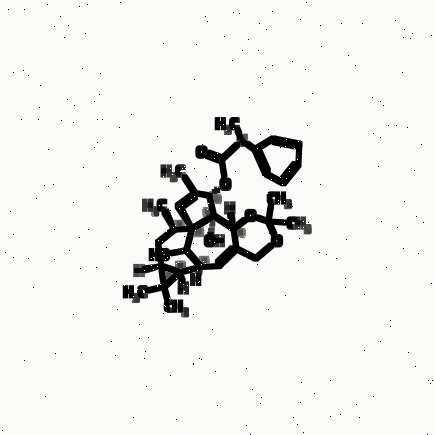 CC1=C[C@]23C(O)[C@@H](C=C4COC(C)(C)O[C@H]4[C@]2(O)[C@H]1OC(=O)N(C)c1ccccc1)[C@H]1[C@@H](C[C@H]3C)C1(C)C